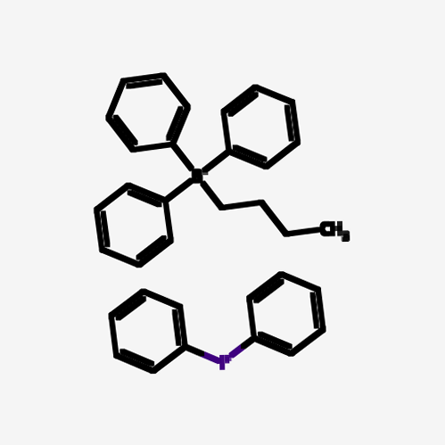 CCCC[B-](c1ccccc1)(c1ccccc1)c1ccccc1.c1ccc([I+]c2ccccc2)cc1